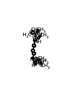 COC(=O)NC(C(=O)N1[C@@H]2C[C@@H]2C[C@H]1c1ncc(-c2ccc3cc(-c4ccc(-c5cnc(C6CC7C([C@@H]7C)N6C(=O)[C@@H](NC(=O)OC)[C@H]6C[C@@H](C)O[C@@H](C)C6)[nH]5)cc4)ccc3c2)[nH]1)C(C)C